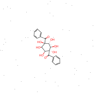 O=C(c1ccccc1)[C@]1(O)[C@H](O)[C@@H](O)[C@@](O)(C(=O)c2ccccc2)[C@@H](O)[C@H]1O